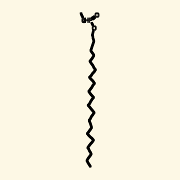 CCCCCCCCCCCCCCCCCCCCO[PH](=O)OC